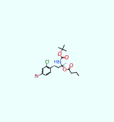 CCCC(=O)O[C@@](C)(CCc1ccc(Br)cc1Cl)NC(=O)OC(C)(C)C